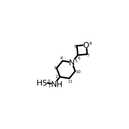 SNC1CCN(C2COC2)CC1